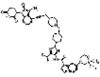 Cn1c(=O)n(C2CCC(=O)NC2=O)c2cccc(C#CCC3CCN(CC4CCC(C5N=C(NC(=O)c6cnn7ccc(N8CCOC(C)(C)C8)cc67)C(C(F)F)=N5)CC4)CC3)c21